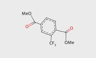 COC(=O)c1ccc(C(=O)OC)c(C(F)(F)F)c1